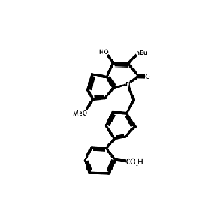 CCCCc1c(O)c2ccc(OC)cc2n(Cc2ccc(-c3ccccc3C(=O)O)cc2)c1=O